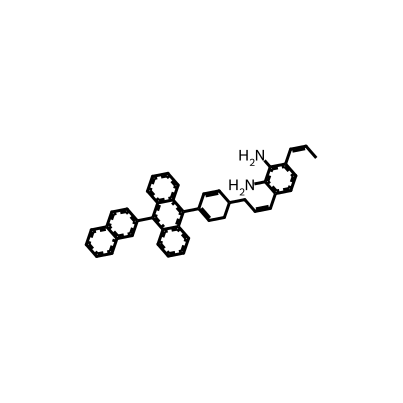 C/C=C\c1ccc(/C=C\CC2C=CC(c3c4ccccc4c(-c4ccc5ccccc5c4)c4ccccc34)=CC2)c(N)c1N